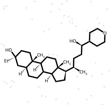 CC[C@]1(O)CC[C@@]2(C)[C@@H](CCC3[C@@H]2CC[C@]2(C)[C@@H]([C@H](C)CC[C@@H](O)C4CCOCC4)CC[C@@H]32)C1